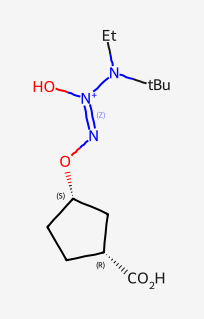 CCN(/[N+](O)=N/O[C@H]1CC[C@@H](C(=O)O)C1)C(C)(C)C